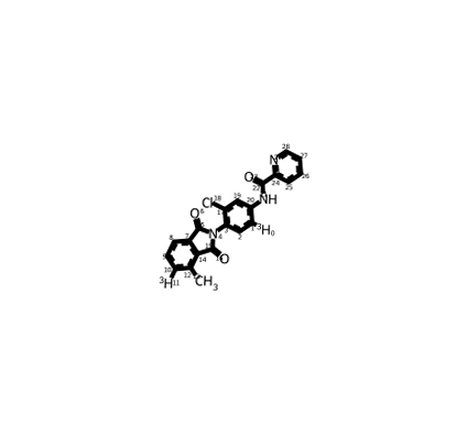 [3H]c1cc(N2C(=O)c3ccc([3H])c(C)c3C2=O)c(Cl)cc1NC(=O)c1ccccn1